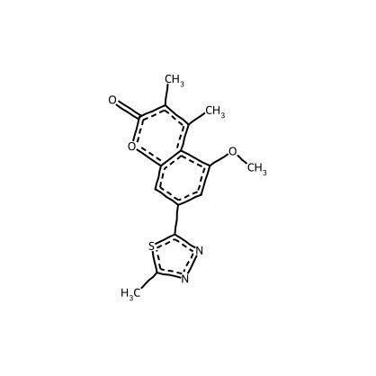 COc1cc(-c2nnc(C)s2)cc2oc(=O)c(C)c(C)c12